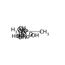 CCCCCCCCCCCCO[C@H]1O[C@H]([C@H](CC(=O)O)NC(=O)Nc2ccc(CC(=O)O)cc2)[C@@H]2OC(C)(C)O[C@H]12